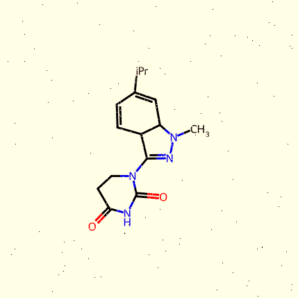 CC(C)C1=CC2C(C=C1)C(N1CCC(=O)NC1=O)=NN2C